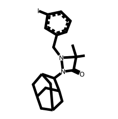 CC1(C)C(=O)N(C2C3CC4CC(C3)CC2C4)N1Cc1cccc(I)c1